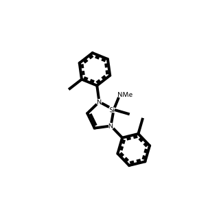 CN[Si]1(C)N(c2ccccc2C)C=CN1c1ccccc1C